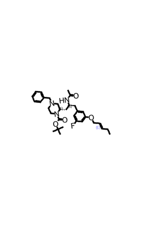 CC/C=C/COc1cc(F)cc(C[C@@H](C[C@H]2CN(Cc3ccccc3)CCN2C(=O)OC(C)(C)C)NC(C)=O)c1